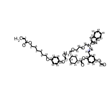 C=CC(=O)OCCCCCCOc1ccc(OC(=O)[C@H]2CC[C@H](C(=O)Oc3ccc(OC=O)cc3/C=N/N(COCCOC)c3nc4ccccc4s3)CC2)cc1